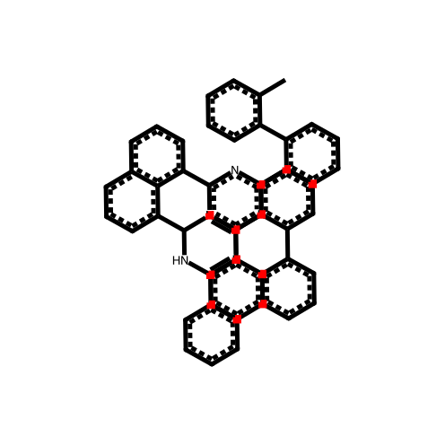 Cc1ccccc1-c1ccccc1-c1nc(-c2ccccc2)nc(-c2cccc3cccc(C4N=C(c5ccccc5-c5ccccc5)N=C(c5ccccc5)N4)c23)n1